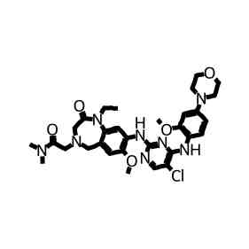 CCN1C(=O)CN(CC(=O)N(C)C)Cc2cc(OC)c(Nc3ncc(Cl)c(Nc4ccc(N5CCOCC5)cc4OC)n3)cc21